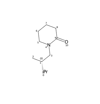 CC(C)[C@H](C)CN1CCCCC1=O